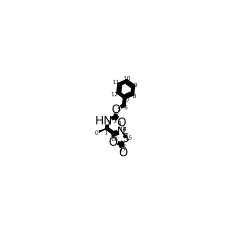 C[C@@H](NC(=O)OCc1ccccc1)c1nsc(=O)o1